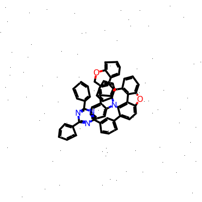 c1ccc(-c2nc(-c3ccccc3)nc(-c3cccc(-c4ccc5oc6cccc(-c7cccc8c7-c7ccccc7OC8)c6c5c4-n4c5ccccc5c5ccccc54)c3)n2)cc1